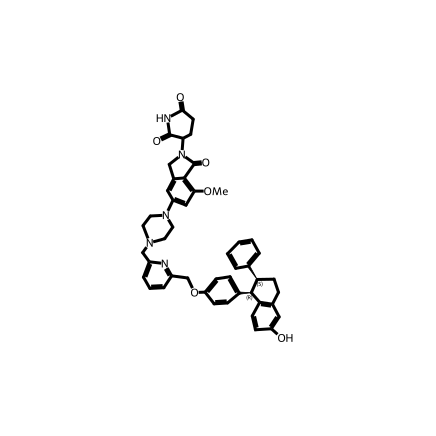 COc1cc(N2CCN(Cc3cccc(COc4ccc([C@@H]5c6ccc(O)cc6CC[C@@H]5c5ccccc5)cc4)n3)CC2)cc2c1C(=O)N(C1CCC(=O)NC1=O)C2